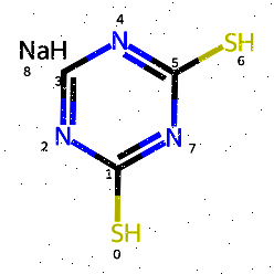 Sc1ncnc(S)n1.[NaH]